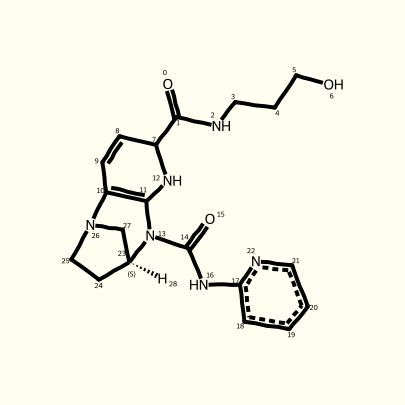 O=C(NCCCO)C1C=CC2=C(N1)N(C(=O)Nc1ccccn1)[C@H]1CCN2C1